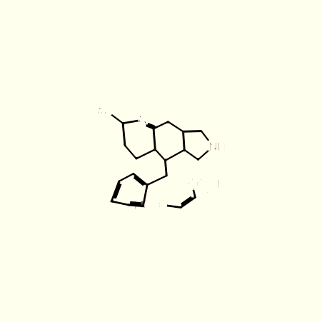 CC(=O)C1CCC2C(=N1)CC1CNCC1C2Cc1ccccc1.O=C(O)/C=C\C(=O)O